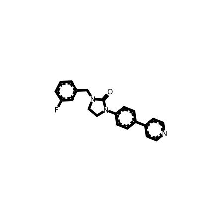 O=C1N(Cc2cccc(F)c2)CCN1c1ccc(-c2ccncc2)cc1